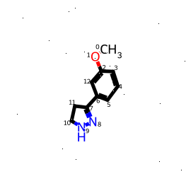 COc1cccc(C2=NNCC2)c1